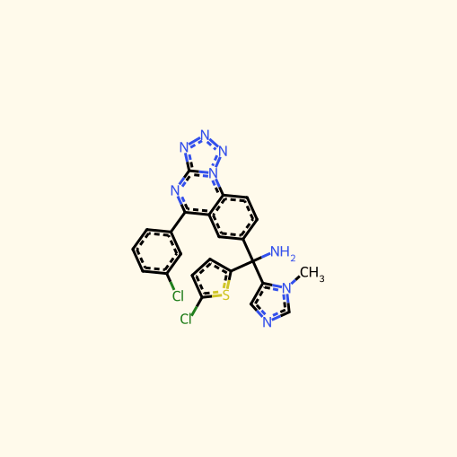 Cn1cncc1C(N)(c1ccc2c(c1)c(-c1cccc(Cl)c1)nc1nnnn12)c1ccc(Cl)s1